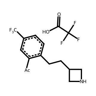 CC(=O)c1cc(C(F)(F)F)ccc1CCC1CNC1.O=C(O)C(F)(F)F